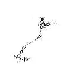 CCCOc1cc(OCCCCN(C)CC(=O)NCCCCCC(=O)NCCN2CCN(c3ccc(-c4cc(C(=O)NCc5c(C)cc(C)[nH]c5=O)c5cnn(C(C)C)c5c4)cn3)CC2)cc(Oc2cc3c(cc2NS(=O)(=O)c2ccc(OC)c(OC)c2)n(C)c(=O)n3C)c1